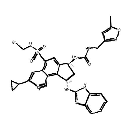 Cc1cc(CNC(=O)N[C@H]2C[C@H](Nc3nc4ccccc4[nH]3)c3c2cc(S(=O)(=O)NCC(C)C)c2cc(C4CC4)ncc32)no1